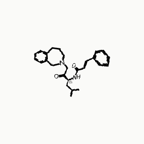 CC(C)C[C@H](NC(=O)C=Cc1ccccc1)C(=O)CN1CCCc2ccccc2C1